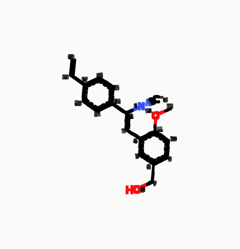 [C-]#[N+]/C(=C\c1cc(CO)ccc1OC)c1ccc(C=C)cc1